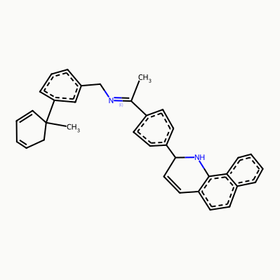 C/C(=N\Cc1cccc(C2(C)C=CC=CC2)c1)c1ccc(C2C=Cc3ccc4ccccc4c3N2)cc1